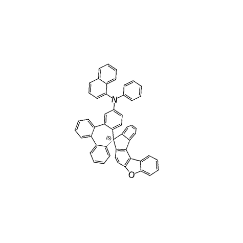 c1ccc(N(c2ccc3c(c2)-c2ccccc2-c2ccccc2[C@@]32c3ccccc3-c3c2ccc2oc4ccccc4c32)c2cccc3ccccc23)cc1